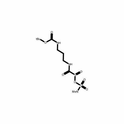 CNS(=O)(=O)OS(=O)C(=O)NCCCNC(=O)OC(C)(C)C